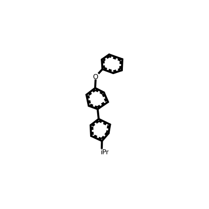 CC(C)c1ccc(-c2ccc(Oc3ccccc3)cc2)cc1